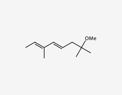 C/C=C(C)/C=C/CC(C)(C)OC